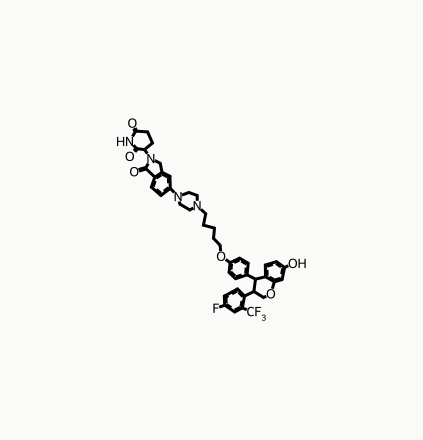 O=C1CCC(N2Cc3cc(N4CCN(CCCCCOc5ccc(C6c7ccc(O)cc7OCC6c6ccc(F)cc6C(F)(F)F)cc5)CC4)ccc3C2=O)C(=O)N1